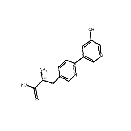 N[C@@H](Cc1ccc(-c2cncc(O)c2)nc1)C(=O)O